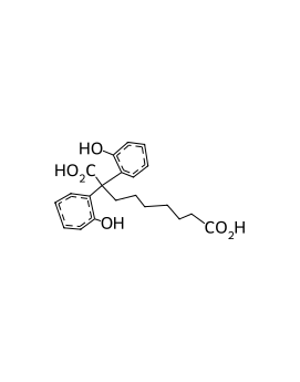 O=C(O)CCCCCCC(C(=O)O)(c1ccccc1O)c1ccccc1O